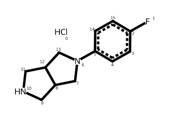 Cl.Fc1ccc(N2CC3CNCC3C2)cc1